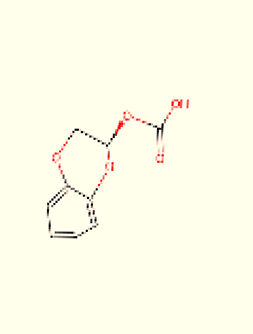 O=C(O)O[C@@H]1COc2ccccc2O1